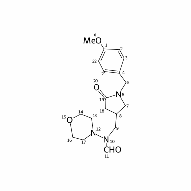 COc1ccc(CN2CC(CN(C=O)N3CCOCC3)CC2=O)cc1